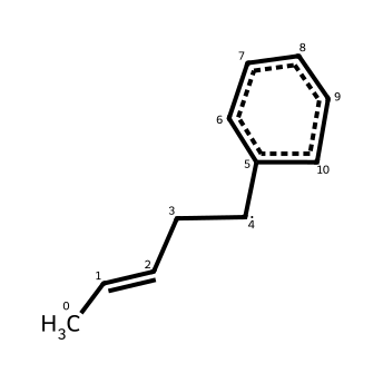 C/C=C/C[CH]c1ccccc1